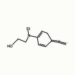 CCN(CCO)C1=CCC(=[N+]=[N-])C=C1